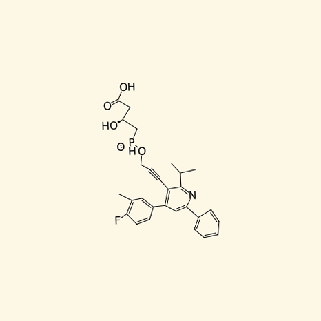 Cc1cc(-c2cc(-c3ccccc3)nc(C(C)C)c2C#CCO[PH](=O)C[C@@H](O)CC(=O)O)ccc1F